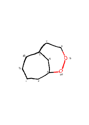 C1CCC2CC(C1)CCOO2